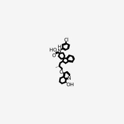 C[C@@H](COc1ccnc2c1CCC[C@@H]2O)CC1Cc2ccccc2C12CCC(Nc1cccc(Cl)c1)(C(=O)O)CC2